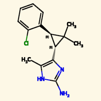 Cc1[nH]c(N)nc1[C@@H]1[C@@H](c2ccccc2Cl)C1(C)C